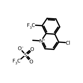 C[n+]1ccc(Cl)c2cccc(C(F)(F)F)c21.O=S(=O)([O-])C(F)(F)F